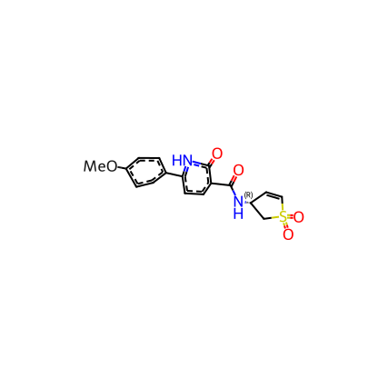 COc1ccc(-c2ccc(C(=O)N[C@@H]3C=CS(=O)(=O)C3)c(=O)[nH]2)cc1